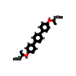 CCCCCC[C@@H](C)Oc1ccc(-c2ccc(-c3ccc(O[C@H](C)CCCCCC)cc3)cc2)cc1